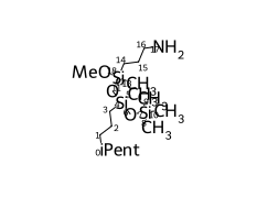 CCCC(C)CCC[Si](C)(O[Si](C)(C)C)O[Si](C)(CCCN)OC